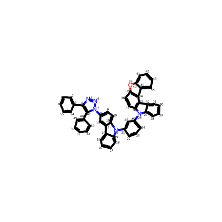 c1ccc(-c2nnn(-c3ccc4c(c3)c3ccccc3n4-c3cccc(-n4c5ccccc5c5c6c(ccc54)oc4ccccc46)c3)c2-c2ccccc2)cc1